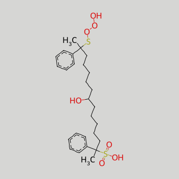 CC(CCCCCC(O)CCCCCC(C)(c1ccccc1)S(=O)(=O)O)(SOOO)c1ccccc1